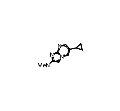 CNc1cn2cc(C3CC3)cnc2n1